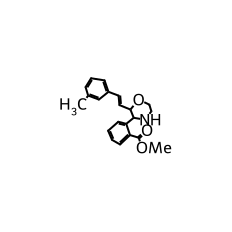 COC(=O)c1ccccc1C1NCCOC1/C=C/c1cccc(C)c1